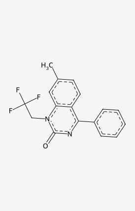 Cc1ccc2c(-c3ccccc3)nc(=O)n(CC(F)(F)F)c2c1